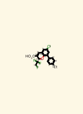 CCc1ccc(-c2cc(Cl)cc3c2O[C@H](C(F)(F)CF)C(C(=O)O)=C3)cc1